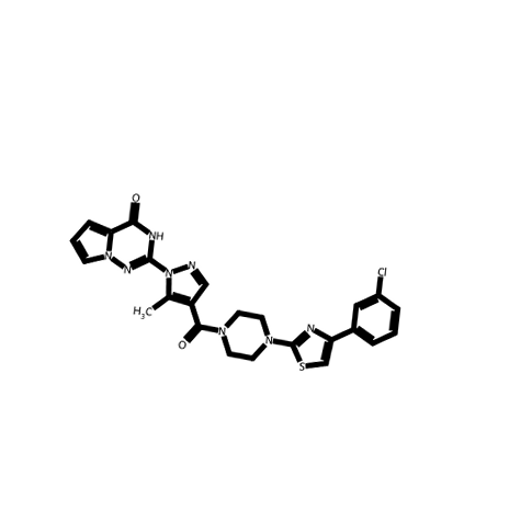 Cc1c(C(=O)N2CCN(c3nc(-c4cccc(Cl)c4)cs3)CC2)cnn1-c1nn2cccc2c(=O)[nH]1